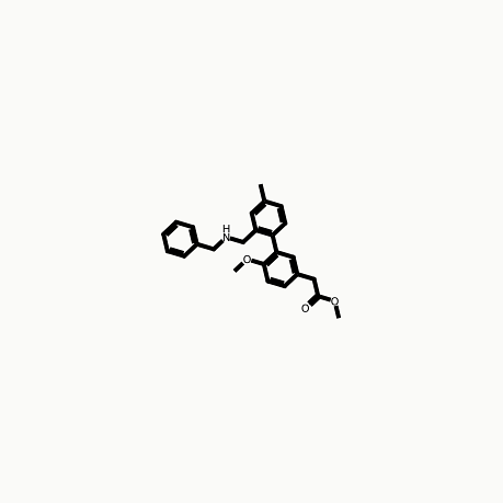 COC(=O)Cc1ccc(OC)c(-c2ccc(C)cc2CNCc2ccccc2)c1